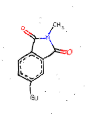 CCC(C)c1ccc2c(c1)C(=O)N(C)C2=O